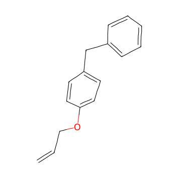 C=CCOc1ccc(Cc2ccccc2)cc1